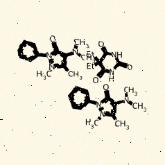 CCC1(CC)C(=O)NC(=O)NC1=O.Cc1c(N(C)C)c(=O)n(-c2ccccc2)n1C.Cc1c(N(C)C)c(=O)n(-c2ccccc2)n1C